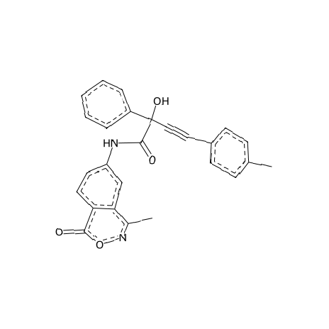 Cc1ccc(C#CC(O)(C(=O)Nc2ccc3c(=O)onc(C)c3c2)c2ccccc2)cc1